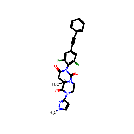 Cn1ccc(N2CCN3C(=O)N(c4c(F)cc(C#Cc5ccccc5)cc4F)C(=O)C[C@@]3(C)C2=O)n1